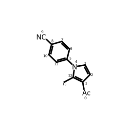 CC(=O)c1ccn(-c2ccc(C#N)cc2)c1C